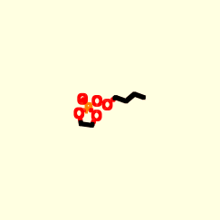 CCCCOOP1(=O)OCCO1